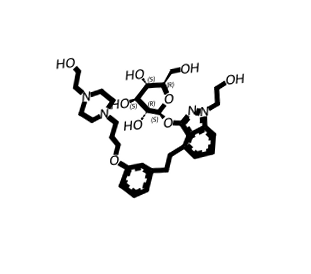 OCCN1CCN(CCCOc2cccc(CCc3cccc4c3c(O[C@@H]3O[C@H](CO)[C@@H](O)[C@H](O)[C@H]3O)nn4CCO)c2)CC1